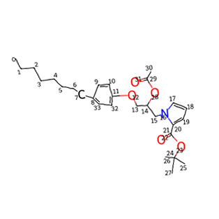 CCCCCCCCc1ccc(OCC(Cn2cccc2C(=O)OC(C)(C)C)OC(C)=O)cc1